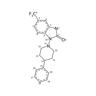 O=C1[N]c2cc(C(F)(F)F)ccc2N1N1CCC(c2ccccc2)CC1